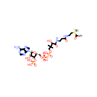 CCCC(=O)[SH](CC)CCNC(=O)CCNC(=O)C(O)C(C)(C)COP(=O)(O)OP(=O)(O)OC[C@H]1O[C@@H](n2cnc3c(N)ncnc32)[C@H](O)[C@@H]1OP(=O)(O)O